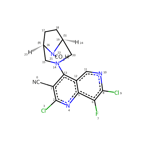 N#Cc1c(Cl)nc2c(F)c(Cl)ncc2c1N1C[C@H]2CC[C@@H](C1)N2C(=O)O